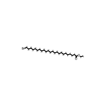 CCOC(=O)CCCCCCCCCCCCCCCCCCCCCCCBr